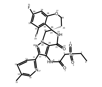 CCS(=O)(=O)CC(=O)Nc1c(-c2ccc(C)cn2)nn2c1C(=O)N[C@@]1(CCOc3cc(F)cc(F)c31)C2